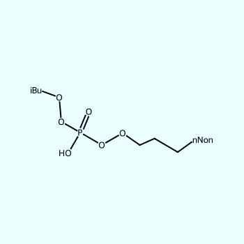 CCCCCCCCCCCCOOP(=O)(O)OOC(C)CC